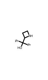 CC(C)C(O)(C(C)C)C1CCN1